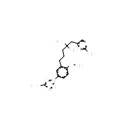 COc1ccc(-n2nnc(C)n2)cc1CCCC(C)(C)Cc1csc(C)n1